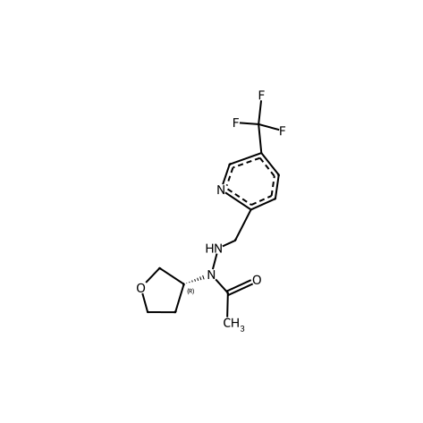 CC(=O)N(NCc1ccc(C(F)(F)F)cn1)[C@@H]1CCOC1